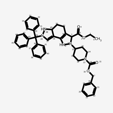 CCOC(=O)C1C2=C(NN1C1CCN(C(=O)OCc3ccccc3)CC1)C1=CN(C(c3ccccc3)(c3ccccc3)c3ccccc3)NC1CC2